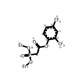 CCOP(=O)(CC(=O)Oc1ccc(C(F)(F)F)cc1C(F)(F)F)OCC